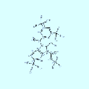 CCC1C(C(O)c2cc(C(F)(F)F)cc(C(F)(F)F)c2)c2ccc(C(F)(F)F)cc2N1C(=O)OC(C)(C)C